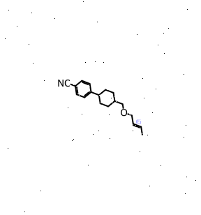 C/C=C/COCC1CCC(c2ccc(C#N)cc2)CC1